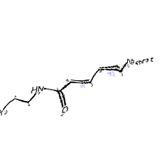 CCCCC/C=C/C=C/C(=O)NCCC(C)C